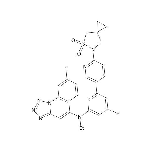 CCN(c1cc(F)cc(-c2ccc(N3CC4(CC4)CS3(=O)=O)nc2)c1)c1cc2nnnn2c2cc(Cl)ccc12